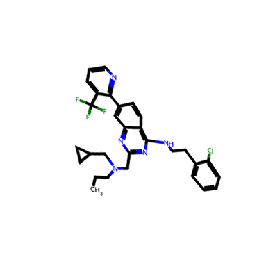 CCCN(Cc1nc(NCCc2ccccc2Cl)c2ccc(-c3ncccc3C(F)(F)F)cc2n1)CC1CC1